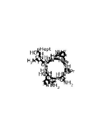 CCCCCCC[C@@H](O)CC(=O)N[C@H](CCN)C(=O)N[C@H]1CCNC(O)[C@H](Cc2ccncc2)NC(=O)[C@H](CCN)NC(=O)[C@H](CCN)NC(=O)[C@H](CC(C)C)NC(=O)[C@@H](Cc2ccccc2)NC(=O)[C@H](CCN)NC1=O